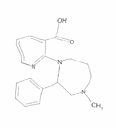 CN1CCCN(c2ncccc2C(=O)O)C(c2ccccc2)C1